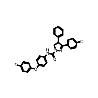 O=C(Nc1ccc(Oc2ccc(F)cc2)cc1)N1CC(c2ccccc2)C(c2ccc(Cl)cc2)=N1